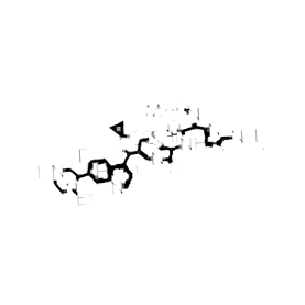 CCN1CCNCC1c1cc2nccc(C(SC3(C(=O)O)CC3)C3=C(C(=O)O)N4C(=O)C(NC(=O)/C(=N\OC)c5csc(N)n5)[C@@H]4SC3)c2cc1F